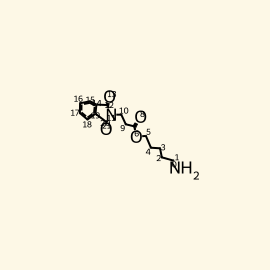 NCCCCCOC(=O)CCN1C(=O)c2ccccc2C1=O